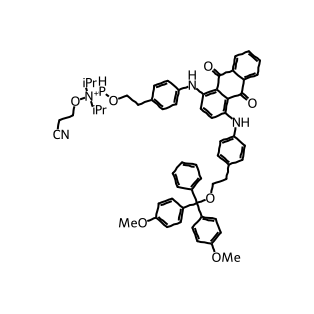 COc1ccc(C(OCCc2ccc(Nc3ccc(Nc4ccc(CCOP[N+](OCCC#N)(C(C)C)C(C)C)cc4)c4c3C(=O)c3ccccc3C4=O)cc2)(c2ccccc2)c2ccc(OC)cc2)cc1